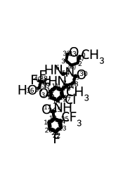 C[C@@H]1C[C@H](N2C(=N)N[C@](C)(c3cccc(NC(=O)c4ccc(F)cc4C(F)(F)F)c3Cl)CC2=O)CCO1.O=C(O)C(F)(F)F